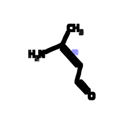 C/C(N)=C/C=O